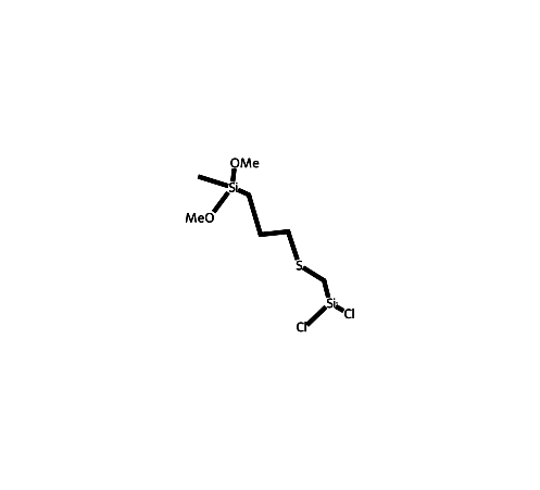 CO[Si](C)(CCCSC[Si](Cl)Cl)OC